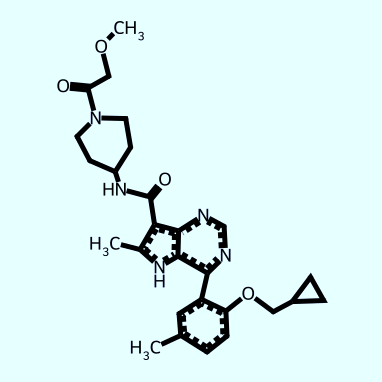 COCC(=O)N1CCC(NC(=O)c2c(C)[nH]c3c(-c4cc(C)ccc4OCC4CC4)ncnc23)CC1